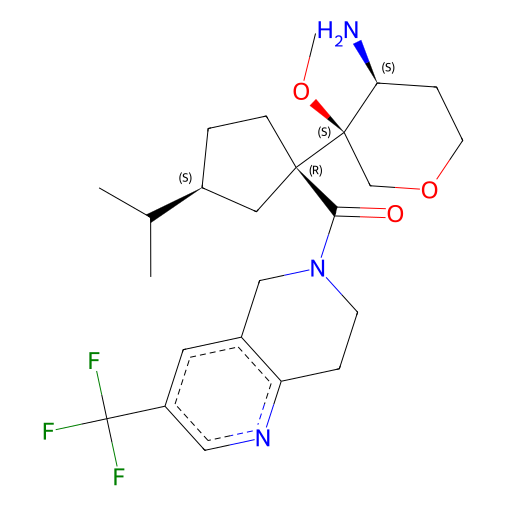 CO[C@]1([C@@]2(C(=O)N3CCc4ncc(C(F)(F)F)cc4C3)CC[C@H](C(C)C)C2)COCC[C@@H]1N